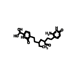 CCC(CCc1ccc(B(O)O)[nH]c1=O)CC(C=O)CCc1ccc(=O)[nH]c1N